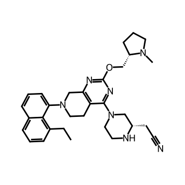 CCc1cccc2cccc(N3CCc4c(nc(OC[C@@H]5CCCN5C)nc4N4CCN[C@@H](CC#N)C4)C3)c12